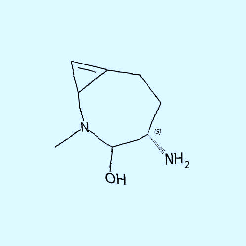 CN1C2C=C2CC[C@H](N)C1O